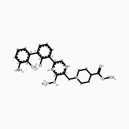 COC(=O)C1CCN(Cc2ncc(-c3cccc(-c4cccc(N)c4C)c3Cl)nc2OC)CC1